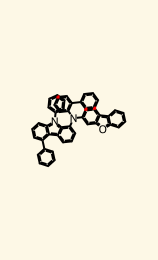 c1ccc(-c2ccccc2N(c2ccc3c(c2)oc2ccccc23)c2cccc3c4c(-c5ccccc5)cccc4n(-c4ccccc4)c23)cc1